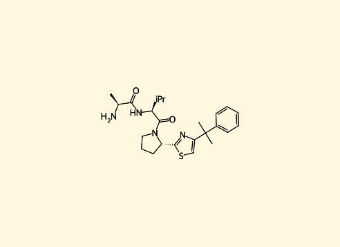 CC(C)[C@H](NC(=O)[C@H](C)N)C(=O)N1CCC[C@H]1c1nc(C(C)(C)c2ccccc2)cs1